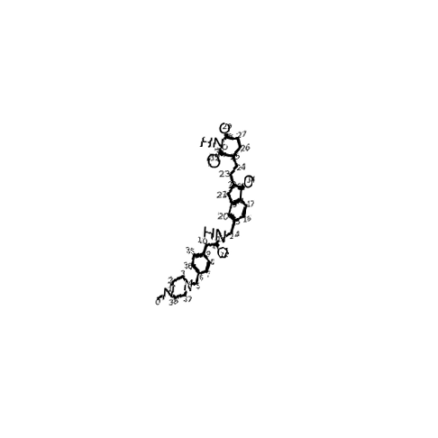 CN1CCN(Cc2ccc(CC(=O)NCc3ccc4c(c3)CC(CCC3CCC(=O)NC3=O)C4=O)cc2)CC1